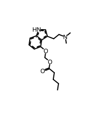 CCCCC(=O)OCOc1cccc2[nH]cc(CCN(C)C)c12